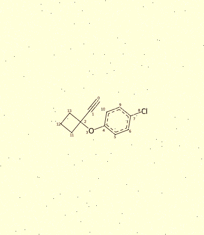 C#CC1(Oc2ccc(Cl)cc2)CCC1